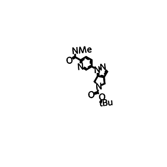 CNC(=O)c1ccc(-n2ncc3c2CN(C(=O)OC(C)(C)C)C3)cn1